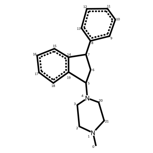 CN1CCN(C2CC(c3ccccc3)c3ccccc32)CC1